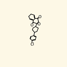 O=C1C2=CCCC=C2C(=O)C2(C3CCC(c4ccc(Cl)cc4)CC3)OC12